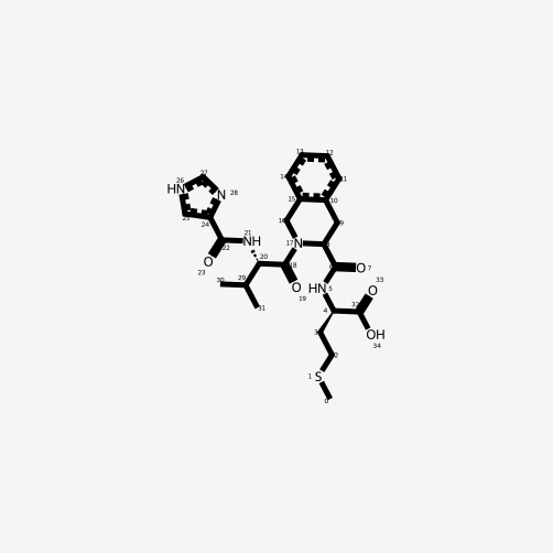 CSCC[C@@H](NC(=O)C1Cc2ccccc2CN1C(=O)[C@@H](NC(=O)c1c[nH]cn1)C(C)C)C(=O)O